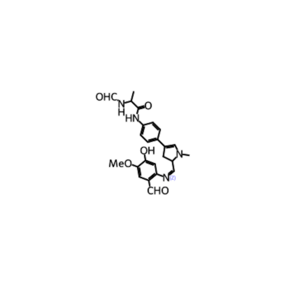 COc1cc(C=O)c(/N=C\C2CC(c3ccc(NC(=O)C(C)NC=O)cc3)=CN2C)cc1O